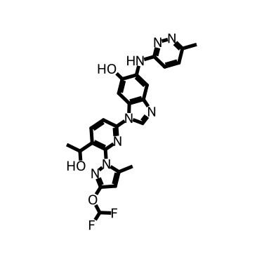 Cc1ccc(Nc2cc3ncn(-c4ccc(C(C)O)c(-n5nc(OC(F)F)cc5C)n4)c3cc2O)nn1